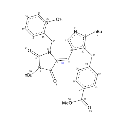 CCCCc1ncc(/C=C2/C(=O)N(CCCC)C(=O)N2Cc2cccc[n+]2[O-])n1Cc1ccc(C(=O)OC)cc1